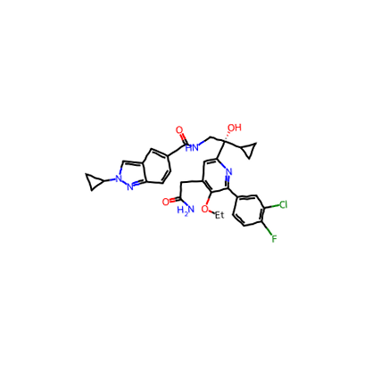 CCOc1c(CC(N)=O)cc([C@@](O)(CNC(=O)c2ccc3nn(C4CC4)cc3c2)C2CC2)nc1-c1ccc(F)c(Cl)c1